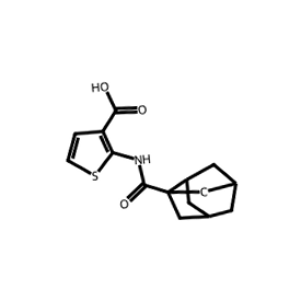 O=C(O)c1ccsc1NC(=O)C12CC3CC(CC1C3)C2